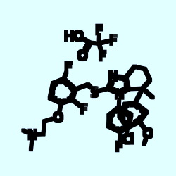 COc1cc(C2(C)CCCc3nc(SCc4c(F)ccc(OCCN(C)C)c4F)n(-c4ccc(F)cc4)c32)ccc1Cl.O=C(O)C(F)(F)F